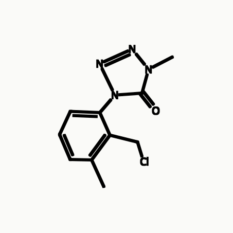 Cc1cccc(-n2nnn(C)c2=O)c1CCl